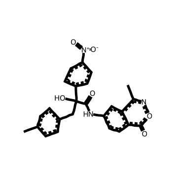 Cc1ccc(CC(O)(C(=O)Nc2ccc3c(=O)onc(C)c3c2)c2ccc([N+](=O)[O-])cc2)cc1